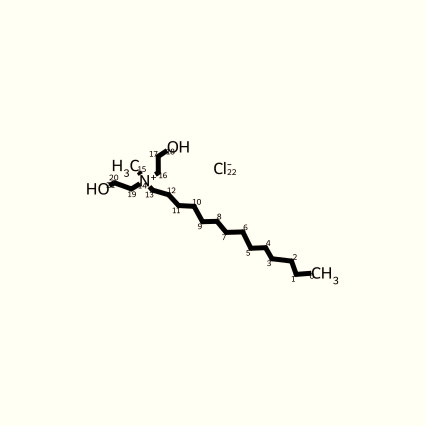 CCCCCCCCCCCCCC[N+](C)(CCO)CCO.[Cl-]